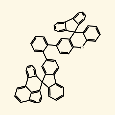 c1ccc2c(c1)Oc1ccc(-c3ccccc3-c3ccc4c(c3)C3(c5ccccc5-4)c4ccccc4-c4cccc5cccc3c45)cc1C21c2ccccc2-c2ccccc21